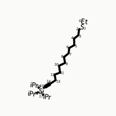 CCSCCCCCCCCCCCCC#C[Si](C(C)C)(C(C)C)C(C)C